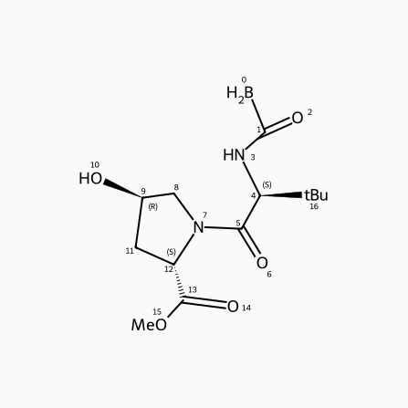 BC(=O)N[C@H](C(=O)N1C[C@H](O)C[C@H]1C(=O)OC)C(C)(C)C